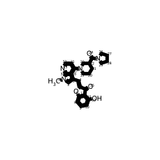 Cn1cc(/C=C2\Oc3cccc(O)c3C2=O)c2c(N3CCCC(C(=O)N4CCCC4)C3)ccnc21